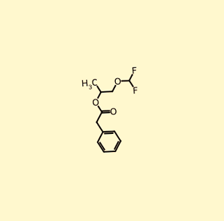 CC(COC(F)F)OC(=O)Cc1ccccc1